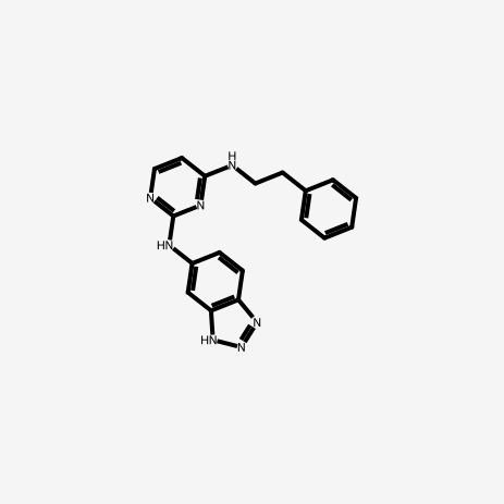 c1ccc(CCNc2ccnc(Nc3ccc4nn[nH]c4c3)n2)cc1